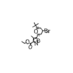 CCOC(=O)c1noc([C@@H]2CC(Br)C[C@H](C(C)(C)C)O2)c1C